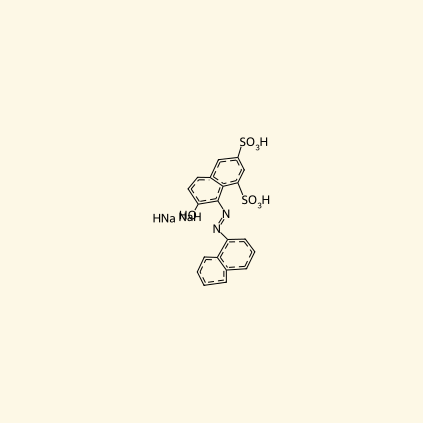 O=S(=O)(O)c1cc(S(=O)(=O)O)c2c(/N=N/c3cccc4ccccc34)c(O)ccc2c1.[NaH].[NaH]